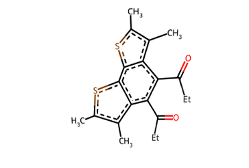 CCC(=O)c1c(C(=O)CC)c2c(C)c(C)sc2c2sc(C)c(C)c12